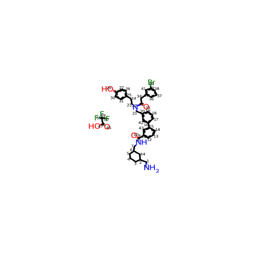 NCC1CCCC(CNC(=O)c2cccc(-c3cccc(CN(CCc4ccc(O)cc4)C(=O)Cc4cccc(Br)c4)c3)c2)C1.O=C(O)C(F)(F)F